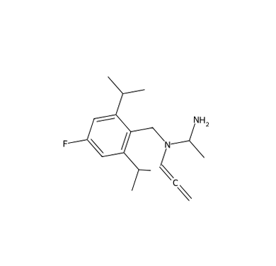 C=C=CN(Cc1c(C(C)C)cc(F)cc1C(C)C)C(C)N